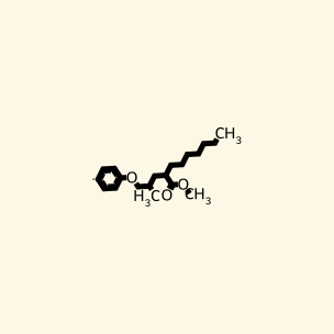 CCCCCCCC(CC(C)COc1cc[c]cc1)C(=O)OC